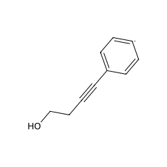 OCCC#Cc1cc[c]cc1